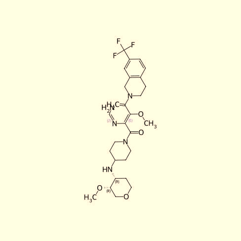 C=C(/C(OC)=C(\N=C/N)C(=O)N1CCC(N[C@@H]2CCOC[C@@H]2OC)CC1)N1CCc2ccc(C(F)(F)F)cc2C1